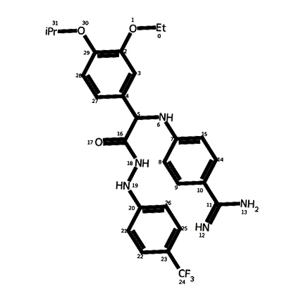 CCOc1cc(C(Nc2ccc(C(=N)N)cc2)C(=O)NNc2ccc(C(F)(F)F)cc2)ccc1OC(C)C